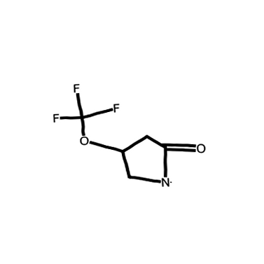 O=C1CC(OC(F)(F)F)C[N]1